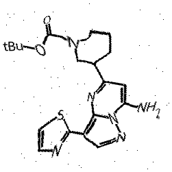 CC(C)(C)OC(=O)N1CCCC(c2cc(N)n3ncc(-c4nccs4)c3n2)C1